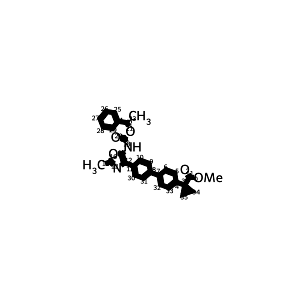 COC(=O)C1(c2ccc(-c3ccc(-c4nc(C)oc4NC(=O)O[C@H](C)c4ccccc4)cc3)cc2)CC1